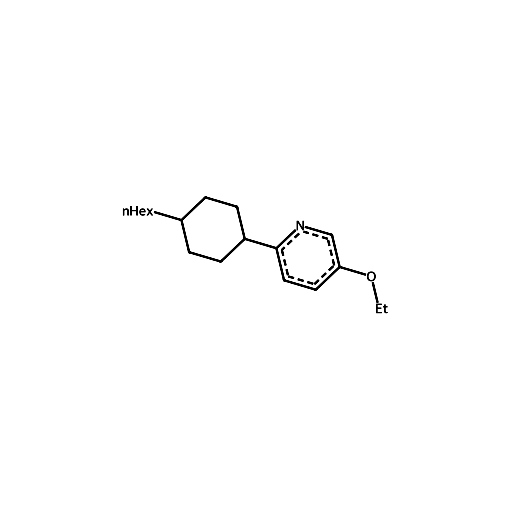 CCCCCCC1CCC(c2ccc(OCC)cn2)CC1